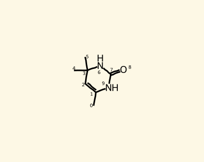 CC1=CC(C)(C)NC(=O)N1